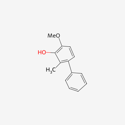 COc1ccc(-c2ccccc2)c(C)c1O